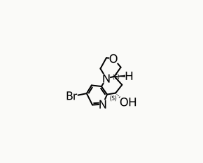 O[C@H]1C[C@H]2COCCN2c2cc(Br)cnc21